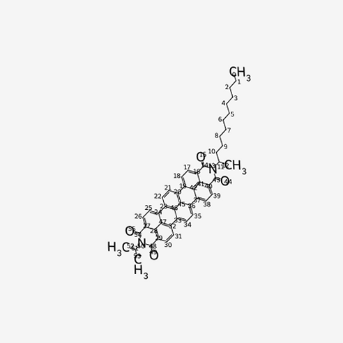 CCCCCCCCCCCC(C)N1C(=O)c2ccc3c4ccc5c6ccc7c8c(ccc(c9ccc(c%10ccc(c2c3%10)C1=O)c4c59)c86)C(=O)N(C(C)C)C7=O